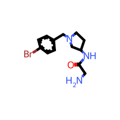 NCC(=O)NC1CCN(Cc2ccc(Br)cc2)C1